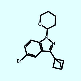 Brc1ccc2c(c1)c(C13CC(C1)C3)nn2C1CCCCO1